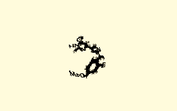 COCc1ccc(C(C)n2cc(-c3cc(=O)[nH]c(C)n3)cn2)c(F)c1